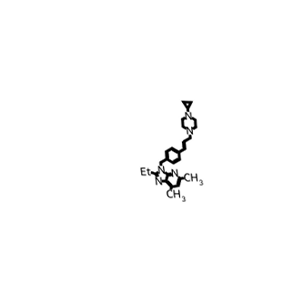 CCc1nc2c(C)cc(C)nc2n1Cc1ccc(/C=C/CN2CCN(C3CC3)CC2)cc1